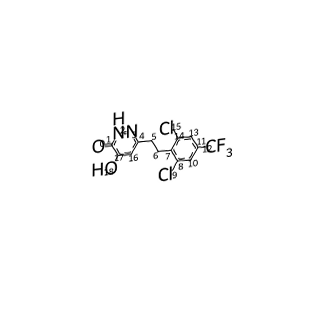 O=c1[nH]nc(CCc2c(Cl)cc(C(F)(F)F)cc2Cl)cc1O